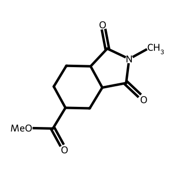 COC(=O)C1CCC2C(=O)N(C)C(=O)C2C1